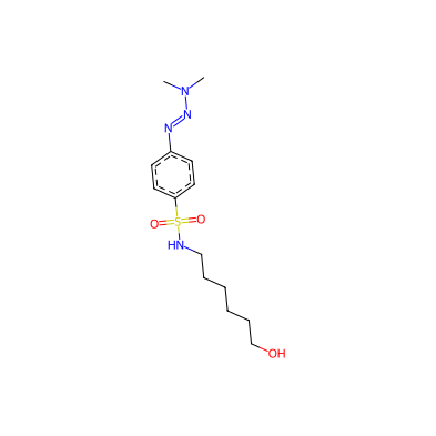 CN(C)N=Nc1ccc(S(=O)(=O)NCCCCCCO)cc1